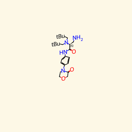 CC(C)(C)CN(CC(C)(C)C)[C@@H](CN)C(=O)Nc1ccc(N2CCOCC2=O)cc1